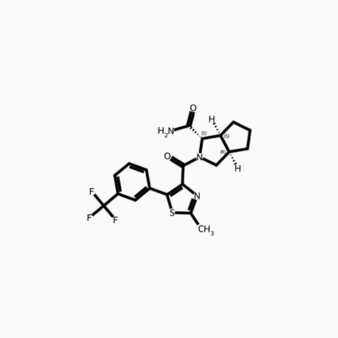 Cc1nc(C(=O)N2C[C@@H]3CCC[C@@H]3[C@H]2C(N)=O)c(-c2cccc(C(F)(F)F)c2)s1